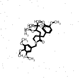 COc1ccc(CC2(CC(O[SiH](C)C)C(C)(C)C)CCN(Cc3cc(OC)c(OC)c(OC)c3)C2=O)cc1OC